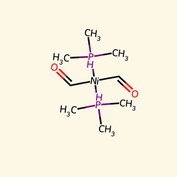 C[PH](C)(C)[Ni]([CH]=O)([CH]=O)[PH](C)(C)C